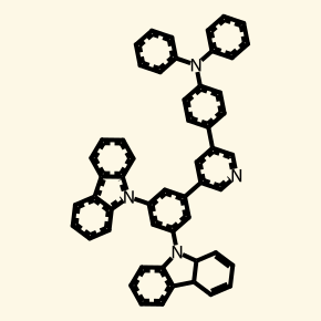 C1=CC2c3ccccc3N(c3cc(-c4cncc(-c5ccc(N(c6ccccc6)c6ccccc6)cc5)c4)cc(-n4c5ccccc5c5ccccc54)c3)C2C=C1